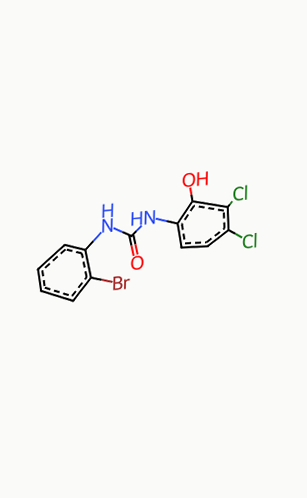 O=C(Nc1ccccc1Br)Nc1ccc(Cl)c(Cl)c1O